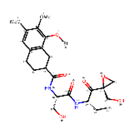 CCOc1c2c(cc(OC)c1OC)CCC(C(=O)N[C@@H](CO)C(=O)N[C@@H](CC(C)C)C(=O)[C@@]1(CO)CO1)C2